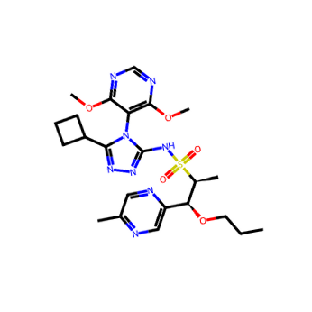 CCCO[C@@H](c1cnc(C)cn1)[C@H](C)S(=O)(=O)Nc1nnc(C2CCC2)n1-c1c(OC)ncnc1OC